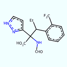 CCC(c1ccccc1C(F)(F)F)C(NC=O)(C(=O)O)c1cc[nH]n1